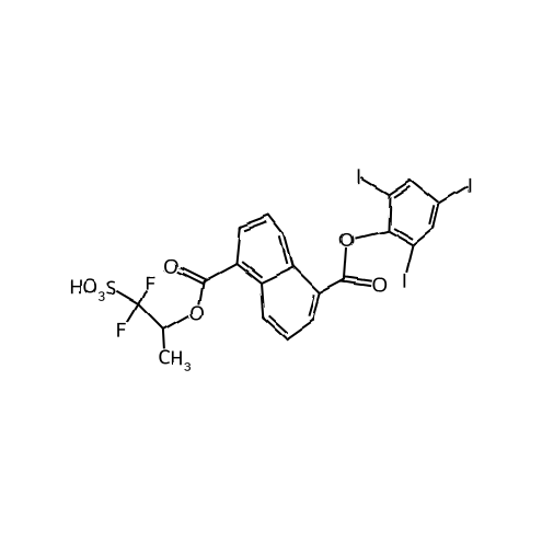 CC(OC(=O)c1cccc2c(C(=O)Oc3c(I)cc(I)cc3I)cccc12)C(F)(F)S(=O)(=O)O